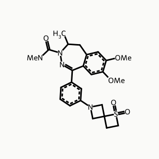 CNC(=O)N1N=C(c2cccc(N3CC4(CCS4(=O)=O)C3)c2)c2cc(OC)c(OC)cc2CC1C